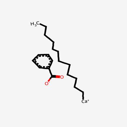 CCCCCCCCCCC[CH2][Ca+].O=C([O-])c1ccccc1